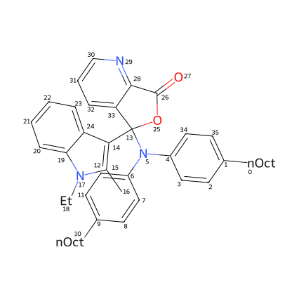 CCCCCCCCc1ccc(N(c2ccc(CCCCCCCC)cc2)C2(c3c(C)n(CC)c4ccccc34)OC(=O)c3ncccc32)cc1